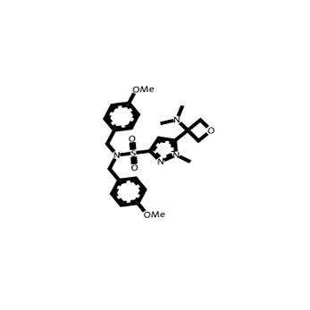 COc1ccc(CN(Cc2ccc(OC)cc2)S(=O)(=O)c2cc(C3(N(C)C)COC3)n(C)n2)cc1